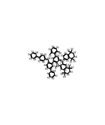 CB1c2cc3c(cc2N(c2ccc4c(c2)C(C)(C)CCC4(C)C)c2cc(-c4c(C)cccc4C)cc(-c4cc(-c5ccccc5)ccc4Cc4ccc(-c5ccccc5)cc4)c21)C(C)(C)CCC3(C)C